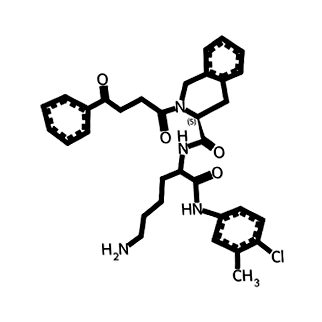 Cc1cc(NC(=O)C(CCCCN)NC(=O)[C@@H]2Cc3ccccc3CN2C(=O)CCC(=O)c2ccccc2)ccc1Cl